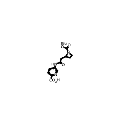 CC(C)(C)OC(=O)N1CCC1CC(=O)Nc1ccc(C(=O)O)nc1